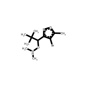 Cc1onc(C(O[SiH](C)C)C(C)(C)C)c1Br